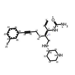 C=C/C(NC(N)=O)=C(/CN[C@H]1CCCNC1)SCC#Cc1cccc(F)c1